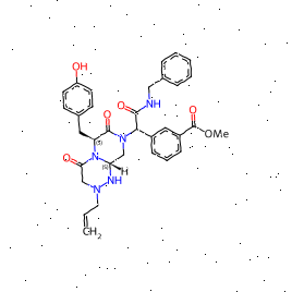 C=CCN1CC(=O)N2[C@H](CN(C(C(=O)NCc3ccccc3)c3cccc(C(=O)OC)c3)C(=O)[C@@H]2Cc2ccc(O)cc2)N1